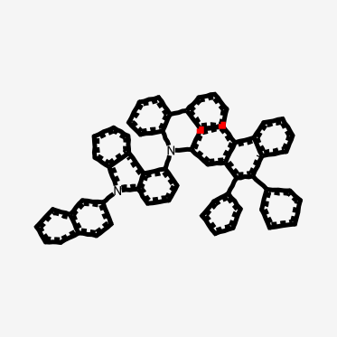 c1ccc(-c2ccccc2N(c2ccc3c(c2)c(-c2ccccc2)c(-c2ccccc2)c2ccccc23)c2cccc3c2c2ccccc2n3-c2ccc3ccccc3c2)cc1